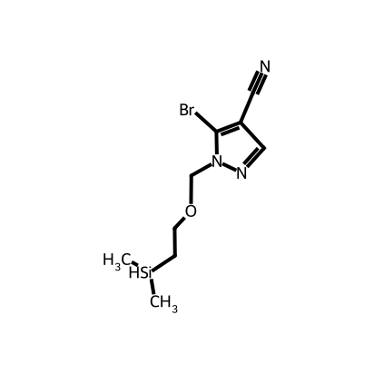 C[SiH](C)CCOCn1ncc(C#N)c1Br